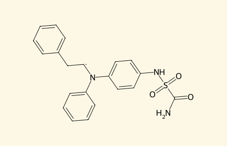 NC(=O)S(=O)(=O)Nc1ccc(N([CH]Cc2ccccc2)c2ccccc2)cc1